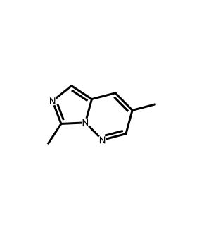 Cc1cnn2c(C)ncc2c1